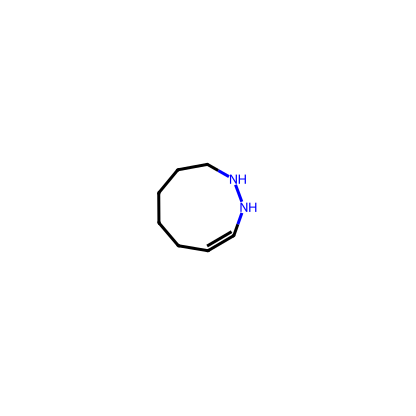 C1=CNNCCCCC1